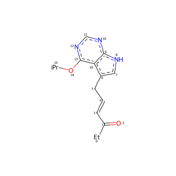 CCC(=O)/C=C/Cc1c[nH]c2ncnc(OC(C)C)c12